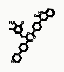 Cc1cc(C[C@@H](OC(=O)N2CCC(N3Cc4ccccc4NC3=O)CC2)C(=O)N2CCC(N3CCNCC3)CC2)cc(Cl)c1N